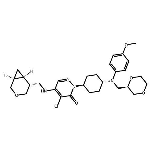 COc1ccc(N(C[C@@H]2COCCO2)[C@H]2CC[C@H](n3ncc(NC[C@@H]4COC[C@H]5C[C@@H]45)c(Cl)c3=O)CC2)cc1